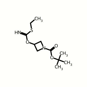 CCSC(=N)OC1CN(C(=O)OC(C)(C)C)C1